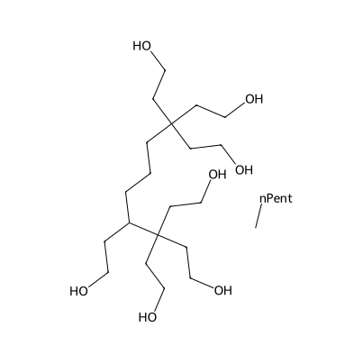 CCCCCC.OCCC(CCCC(CCO)(CCO)CCO)C(CCO)(CCO)CCO